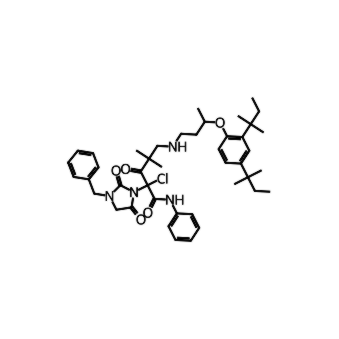 CCC(C)(C)c1ccc(OC(C)CCNCC(C)(C)C(=O)C(Cl)(C(=O)Nc2ccccc2)N2C(=O)CN(Cc3ccccc3)C2=O)c(C(C)(C)CC)c1